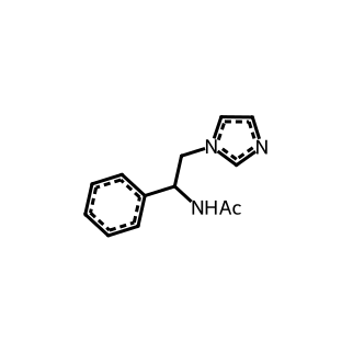 CC(=O)NC(Cn1ccnc1)c1ccccc1